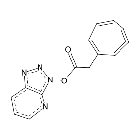 O=C(CC1=CC=CC=C=C1)On1nnc2cccnc21